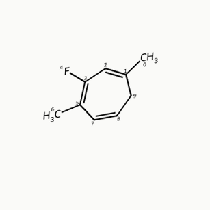 CC1=CC(F)=C(C)C=CC1